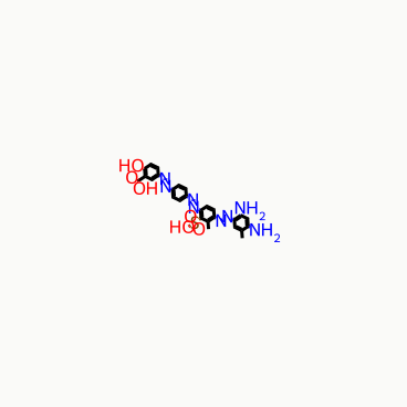 Cc1cc(N=Nc2ccc(N=Nc3ccc(N=Nc4ccc(O)c(C(=O)O)c4)cc3)c(S(=O)(=O)O)c2C)c(N)cc1N